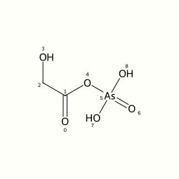 O=C(CO)O[As](=O)(O)O